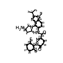 CC(C)c1nc2c(N3CC[C@H](N)C3)c(NC(=O)c3ccc(=O)n(-c4c(F)cccc4F)n3)ccc2n1C